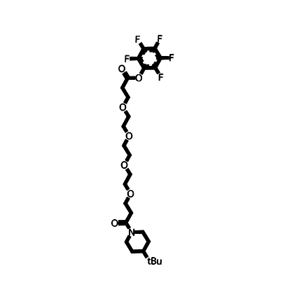 CC(C)(C)C1CCN(C(=O)CCOCCOCCOCCOCCC(=O)Oc2c(F)c(F)c(F)c(F)c2F)CC1